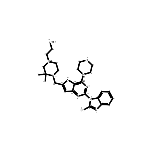 CCc1nc2ccccc2n1-c1nc(N2CCOCC2)c2sc(CN3CCN(CCC=O)CC3(C)C)cc2n1